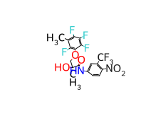 Cc1c(F)c(F)c(F)c(OC[C@](C)(O)C(=O)Nc2ccc([N+](=O)[O-])c(C(F)(F)F)c2)c1F